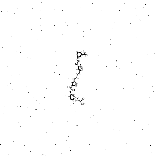 O=C(O)NCc1cccc(CNC(=O)c2cn(CCCCn3cc(C(=O)NCc4cc(C(F)(F)F)ccn4)nn3)nn2)c1